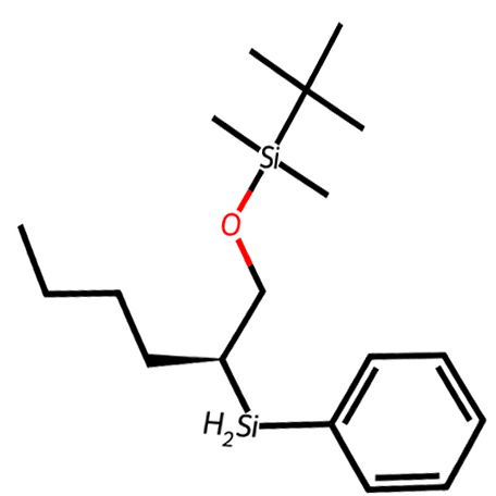 CCCC[C@@H](CO[Si](C)(C)C(C)(C)C)[SiH2]c1ccccc1